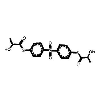 CC(O)C(=O)Sc1ccc(S(=O)(=O)c2ccc(SC(=O)C(C)O)cc2)cc1